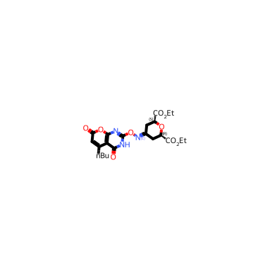 CCCCc1cc(=O)oc2nc(O/N=C3\C[C@@H](C(=O)OCC)O[C@@H](C(=O)OCC)C3)[nH]c(=O)c12